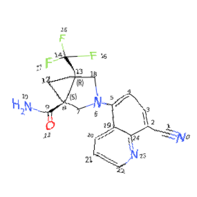 N#Cc1ccc(N2C[C@]3(C(N)=O)C[C@]3(C(F)(F)F)C2)c2cccnc12